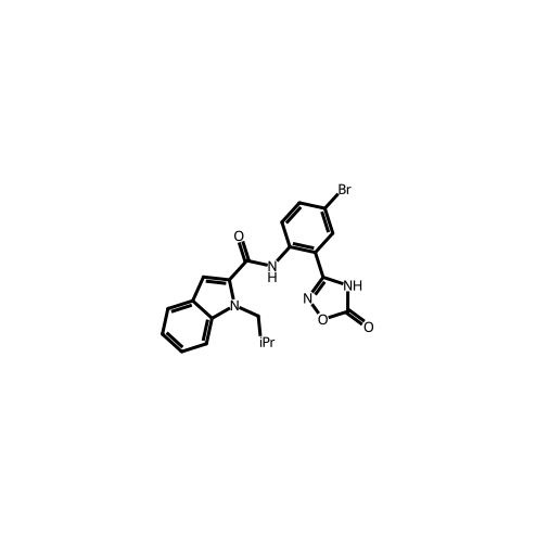 CC(C)Cn1c(C(=O)Nc2ccc(Br)cc2-c2noc(=O)[nH]2)cc2ccccc21